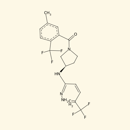 C=C(/C=C\C(=N/N)N[C@@H]1CCN(C(=O)c2cc(C)ccc2C(F)(F)F)C1)C(F)(F)F